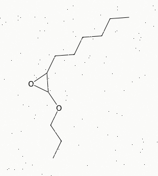 CCCCCCC1OC1OCCC